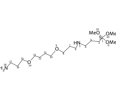 CO[Si](CCCNCCCOCCCCOCCCN)(OC)OC